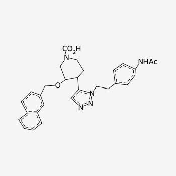 CC(=O)Nc1ccc(CCn2nncc2C2CCN(C(=O)O)CC2OCc2ccc3ccccc3c2)cc1